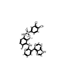 O=S(=O)(Nc1ccc(F)c(Nc2ncccc2-c2ncnc3[nH]cnc23)c1F)c1ccc(Cl)c(Cl)c1